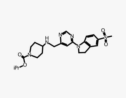 CC(C)OC(=O)N1CCC(NCc2cc(N3CCc4cc(S(C)(=O)=O)ccc43)ncn2)CC1